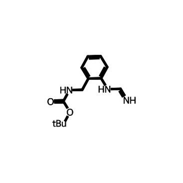 CC(C)(C)OC(=O)NCc1ccccc1NC=N